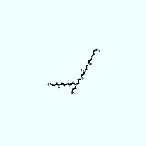 NCCNCCNCCNCCNCCN(CCN)CCNCCNCCN